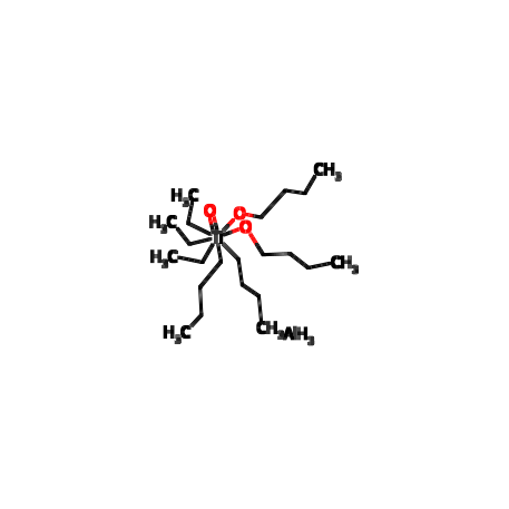 CCCC[O][Ti](=[O])([CH2]C)([CH2]C)([CH2]C)([CH2]CCC)([CH2]CCC)[O]CCCC.[AlH3]